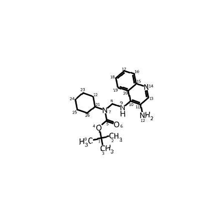 CC(C)(C)OC(=O)N(CNc1c(N)cnc2ccccc12)C1CCCCC1